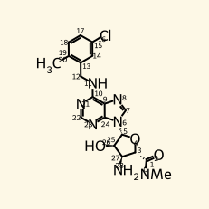 CNC(=O)[C@H]1O[C@@H](n2cnc3c(NCc4cc(Cl)ccc4C)ncnc32)[C@H](O)[C@@H]1N